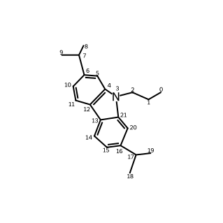 CCCn1c2cc(C(C)C)ccc2c2ccc(C(C)C)cc21